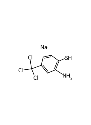 Nc1cc(C(Cl)(Cl)Cl)ccc1S.[Na]